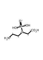 NCCN(CC(=O)O)P(=O)(O)O